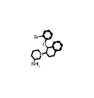 N[C@H]1CCCN(C2CCc3ccccc3C2Oc2ccccc2Br)C1